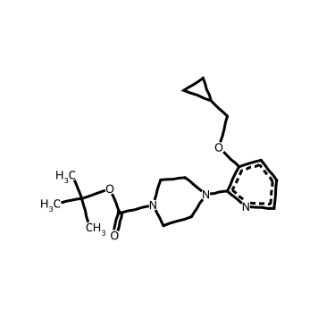 CC(C)(C)OC(=O)N1CCN(c2ncccc2OCC2CC2)CC1